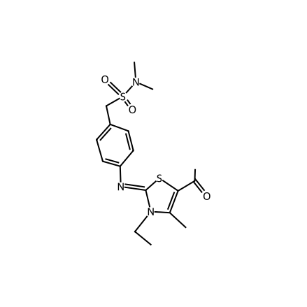 CCn1c(C)c(C(C)=O)s/c1=N\c1ccc(CS(=O)(=O)N(C)C)cc1